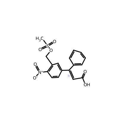 CS(=O)(=O)OCc1cc(/C(=C/C(=O)O)c2ccccc2)ccc1[N+](=O)[O-]